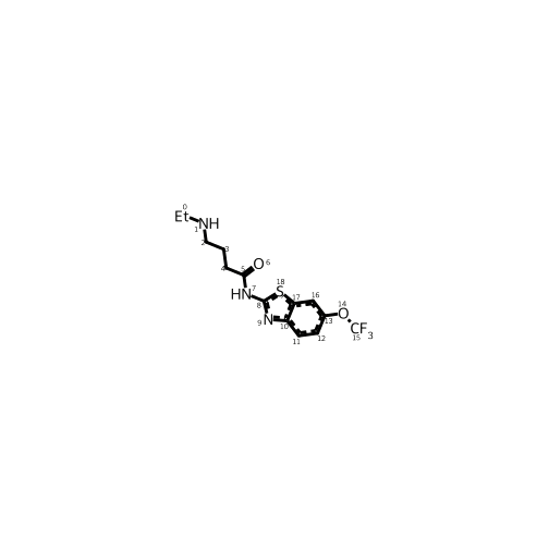 CCNCCCC(=O)Nc1nc2ccc(OC(F)(F)F)cc2s1